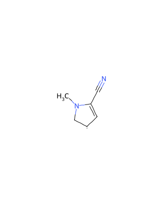 CN1C[CH]C=C1C#N